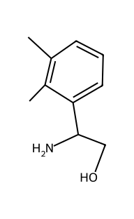 Cc1cccc(C(N)CO)c1C